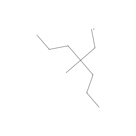 [CH2]CC(C)(CCC)CCC